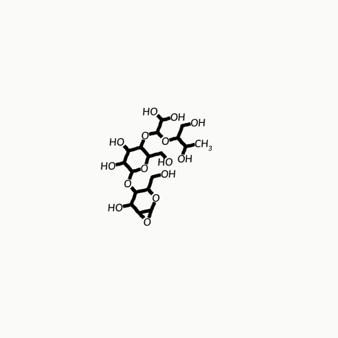 CC(O)C(CO)OC(OC1C(CO)OC(OC2C(CO)OC3OC3C2O)C(O)C1O)C(O)O